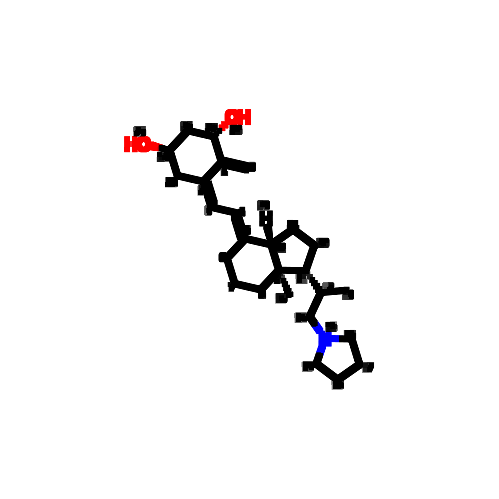 C=C1/C(=C\C=C2/CCC[C@]3(C)[C@@H](C(C)CN4CCCC4)CC[C@@H]23)C[C@@H](O)C[C@@H]1O